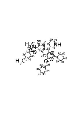 Cc1ccc(S(=O)(=O)N(C)CC(=O)N(CC2CCNCC2)c2ccc(C(=O)OCc3ccccc3)c(OCc3ccccc3)c2)cc1